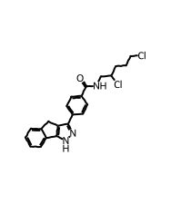 O=C(NCC(Cl)CCCCl)c1ccc(-c2n[nH]c3c2Cc2ccccc2-3)cc1